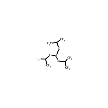 FC(F)(F)C(OB(OC(C(F)(F)F)C(F)(F)F)OC(C(F)(F)F)C(F)(F)F)C(F)(F)F